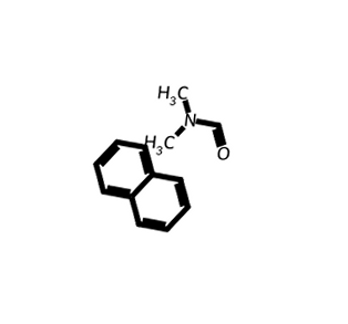 CN(C)C=O.c1ccc2ccccc2c1